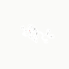 CC1(C)[C@H]2CC[C@]1(C)[C@@H](OC(=O)CC(CCl)C(=O)O)C2